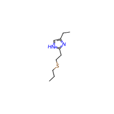 CCCSCCc1nc(CC)c[nH]1